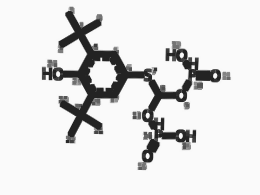 CC(C)(C)c1cc(SC(O[PH](=O)O)O[PH](=O)O)cc(C(C)(C)C)c1O